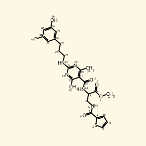 COC(=O)C(CNC(=O)c1cccs1)NC(=O)c1c(C)nc(NCCCc2cc(O)cc(F)c2)nc1C